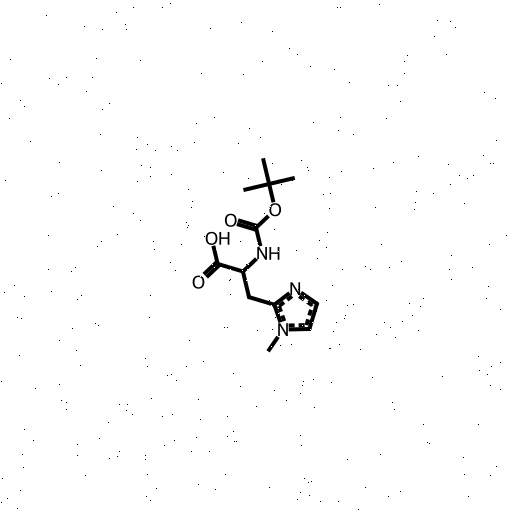 Cn1ccnc1CC(NC(=O)OC(C)(C)C)C(=O)O